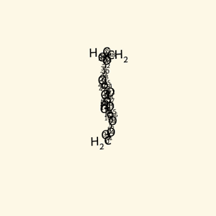 C=CC(=O)OCCCOc1ccc(C(=O)Oc2ccc(OC(=O)c3ccc(OCCCCCCOC(=O)C(=C)C)cc3)cc2F)cc1